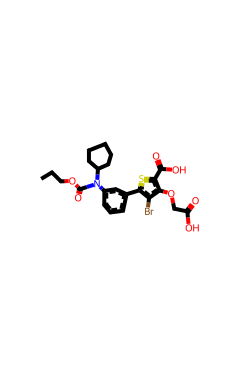 CCCOC(=O)N(c1cccc(-c2sc(C(=O)O)c(OCC(=O)O)c2Br)c1)C1CCCCC1